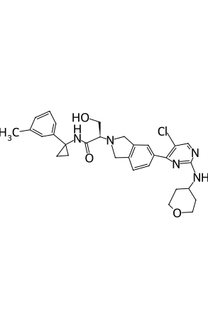 Cc1cccc(C2(NC(=O)[C@@H](CO)N3Cc4ccc(-c5nc(NC6CCOCC6)ncc5Cl)cc4C3)CC2)c1